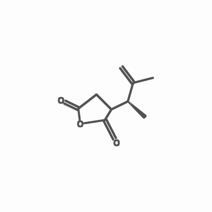 C=C(C)[C@@H](C)C1CC(=O)OC1=O